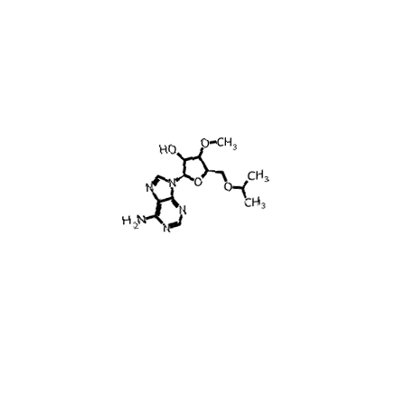 COC1C(O)[C@H](n2cnc3c(N)ncnc32)O[C@@H]1COC(C)C